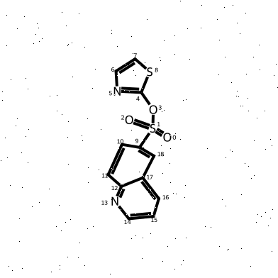 O=S(=O)(Oc1nccs1)c1ccc2ncccc2c1